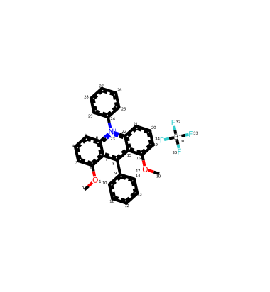 COc1cccc2c1c(-c1ccccc1)c1c(OC)cccc1[n+]2-c1ccccc1.F[B-](F)(F)F